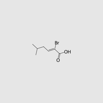 CC(C)CC=C(Br)C(=O)O